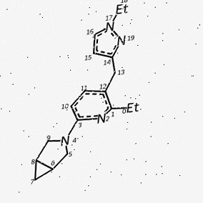 CCc1nc(N2CC3CC3C2)ccc1Cc1ccn(CC)n1